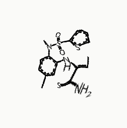 C/C=C(\Nc1cc(C)ccc1N(C)S(=O)(=O)c1cccs1)C(N)=S